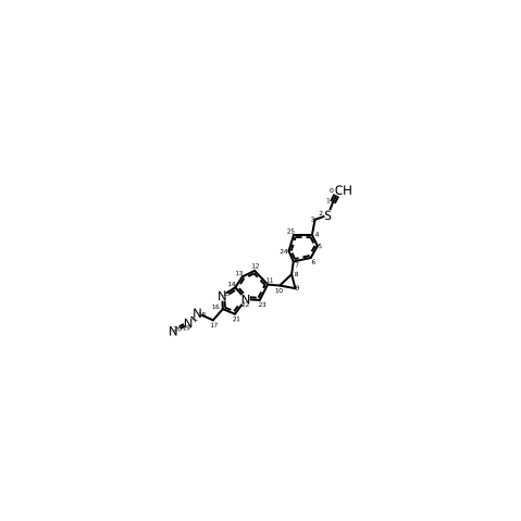 C#CSCc1ccc(C2CC2c2ccc3nc(CN=[N+]=[N-])cn3c2)cc1